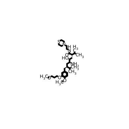 COCCCOc1cc(C[C@@H](C[C@H](N)[C@@H](O)C[C@H](C(=O)NCCN2CCSCC2)C(C)C)C(C)C)ccc1OC